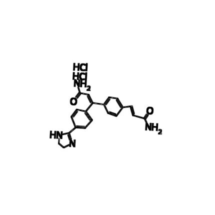 Cl.Cl.NC(=O)C=Cc1ccc(C(=CC(N)=O)c2ccc(C3=NCCN3)cc2)cc1